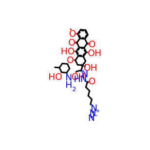 COc1cccc2c1C(=O)c1c(O)c3c(c(O)c1C2=O)C[C@@](O)(/C(CO)=N/NC(=O)CCCCCN=[N+]=[N-])CC3OC1CC(C)C(O)C(N)C1